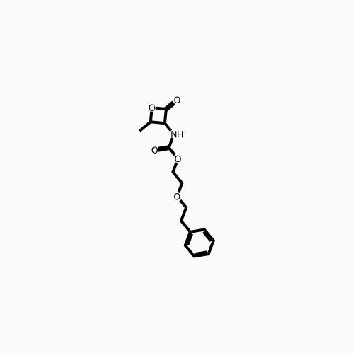 CC1OC(=O)C1NC(=O)OCCOCCc1ccccc1